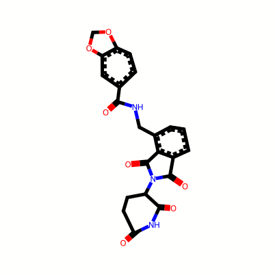 O=C1CCC(N2C(=O)c3cccc(CNC(=O)c4ccc5c(c4)OCO5)c3C2=O)C(=O)N1